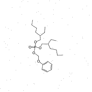 CCCCC(CC)COP(=O)(OCOc1ccccc1)OCC(CC)CCCC